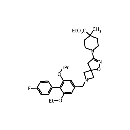 CCCOc1cc(CN2CC3(CC(N4CCC(C)(C(=O)OCC)CC4)=NO3)C2)cc(OCC)c1-c1ccc(F)cc1